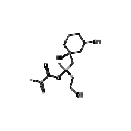 C=C(C)C(=O)OC(C)(CCO)CC1(O)CCCC(O)C1